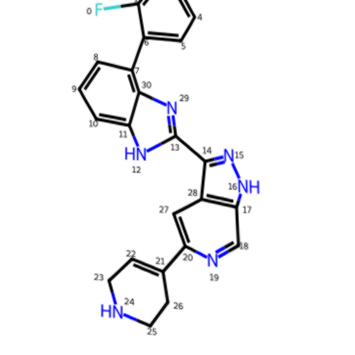 Fc1ccccc1-c1cccc2[nH]c(-c3n[nH]c4cnc(C5=CCNCC5)cc34)nc12